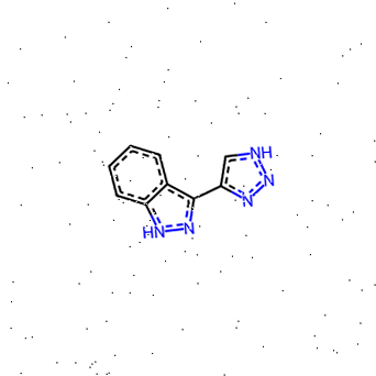 c1ccc2c(-c3c[nH]nn3)n[nH]c2c1